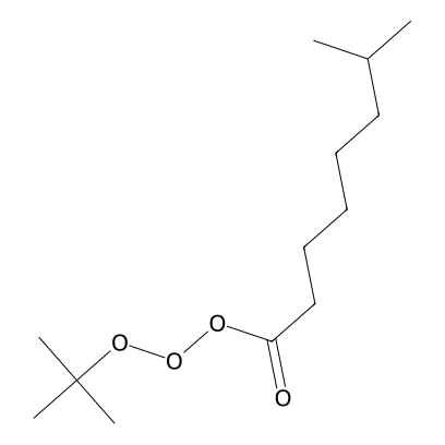 CC(C)CCCCCC(=O)OOOC(C)(C)C